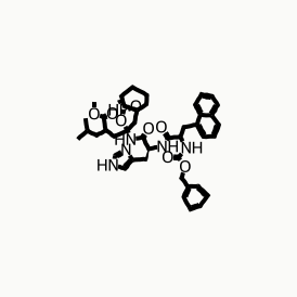 COC(=O)C(CC(C)C)CC(CC1CCCCC1)(NC(=O)[C@H](Cc1c[nH]cn1)NC(=O)C(Cc1cccc2ccccc12)NC(=O)OCc1ccccc1)O[PH](C)=O